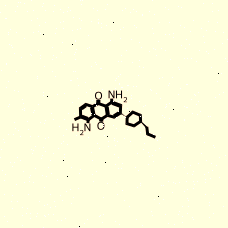 CCC[C@H]1CC[C@H](c2cc(N)c3c(c2)C(=O)c2c(ccc(C)c2N)C3=O)CC1